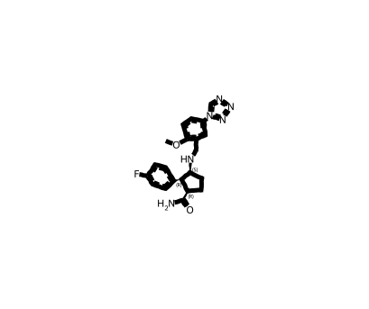 COc1ccc(-n2cnnn2)cc1CN[C@H]1CC[C@@H](C(N)=O)[C@@H]1c1ccc(F)cc1